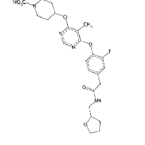 Cc1c(Oc2ccc(CC(=O)NCC3CCCO3)cc2F)ncnc1OC1CCN(C(=O)O)CC1